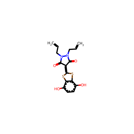 C=CCN1C(=O)C(=C2Sc3c(O)ccc(O)c3S2)C(=O)N1CC=C